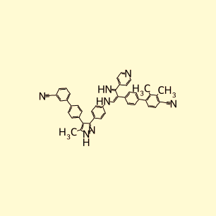 Cc1[nH]nc(-c2ccc(N/C=C(\C(=N)c3ccncc3)c3ccc(-c4ccc(C#N)c(C)c4C)cc3)cc2)c1-c1ccc(-c2cccc(C#N)c2)cc1